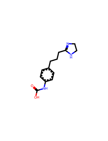 O=C(O)Nc1ccc(CCCC2=NCCN2)cc1